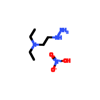 CCN(CC)CCNN.O=[N+]([O-])O